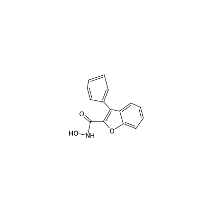 O=C(NO)c1oc2ccccc2c1-c1ccccc1